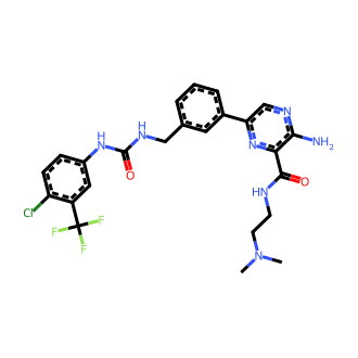 CN(C)CCNC(=O)c1nc(-c2cccc(CNC(=O)Nc3ccc(Cl)c(C(F)(F)F)c3)c2)cnc1N